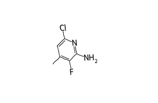 Cc1cc(Cl)nc(N)c1F